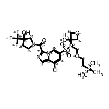 CC1(N(COCC[Si](C)(C)C)S(=O)(=O)c2cc(Cl)c3cnc(C(=O)N4CCC(O)(C(F)(F)F)C4)n3c2)COC1